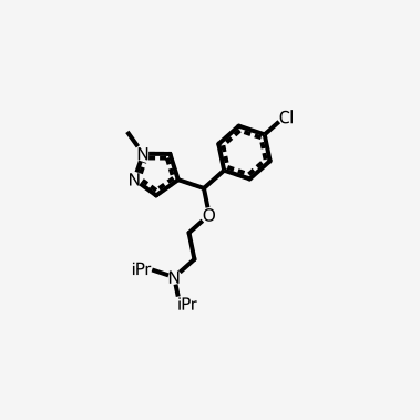 CC(C)N(CCOC(c1ccc(Cl)cc1)c1cnn(C)c1)C(C)C